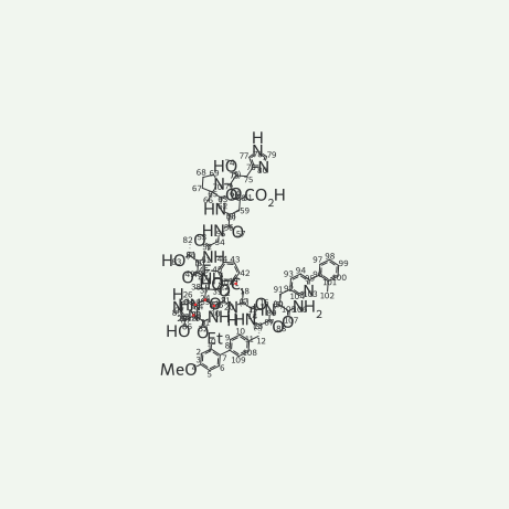 CCc1cc(OC)ccc1-c1ccc(C[C@H](NC(=O)[C@H](CC(=O)O)NC(=O)[C@H](Cc2c[nH]cn2)NC(=O)[C@@H](NC(=O)C(C)(Cc2ccccc2F)NC(=O)[C@@H](NC(=O)CNC(=O)[C@H](CCC(=O)O)NC(=O)C2(C)CCCN2C(=O)[C@@H](O)Cc2c[nH]cn2)[C@@H](C)O)[C@@H](C)O)C(=O)N[C@@H](Cc2ccc(-c3ccccc3C)nc2)C(N)=O)cc1